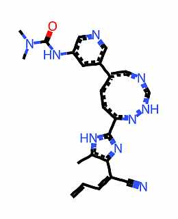 C=C/C=C(/C#N)c1nc(-c2ccc(-c3cncc(NC(=O)N(C)C)c3)cnc[nH]n2)[nH]c1C